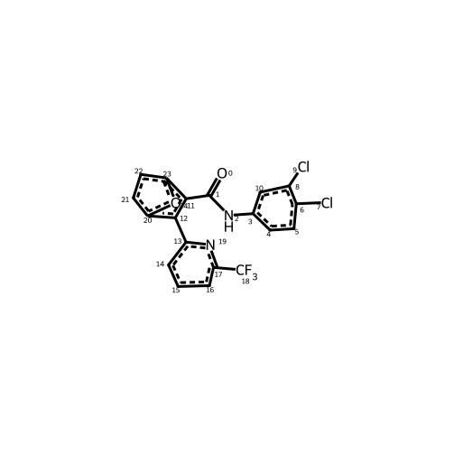 O=C(Nc1ccc(Cl)c(Cl)c1)c1c(-c2cccc(C(F)(F)F)n2)c2ccc1o2